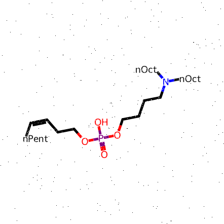 CCCCC/C=C\CCOP(=O)(O)OCCCCN(CCCCCCCC)CCCCCCCC